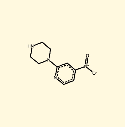 O=[N+]([O-])c1ccnc(N2CCNCC2)c1